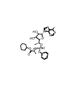 Cc1ncnc2c1ncn2[C@@H]1O[C@H]([C@H](C)OP(=O)(N[C@@H](C)C(=O)OC2CCCCC2)Oc2ccccc2)[C@@H](O)[C@H]1O